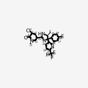 C[C@@H]1NC(c2cc(Cl)c(=O)n(C)c2)=NC1(c1ccc(F)cc1)c1ccc(C(F)(F)F)nc1